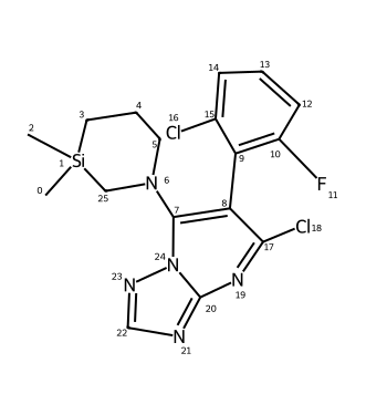 C[Si]1(C)CCCN(c2c(-c3c(F)cccc3Cl)c(Cl)nc3ncnn23)C1